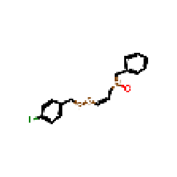 [O-][S+](C/C=C\SSCc1ccc(F)cc1)Cc1ccccc1